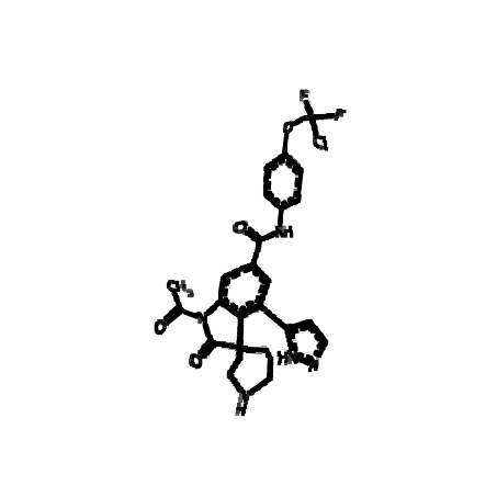 CC(=O)N1C(=O)C2(CCNC2)c2c(-c3ccn[nH]3)cc(C(=O)Nc3ccc(OC(F)(F)Cl)cc3)cc21